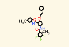 Cc1ccc2oc(-c3cc(NC(=O)c4cc(F)c(F)c(F)c4C)ccc3OCC=Cc3ccccc3)nc2c1